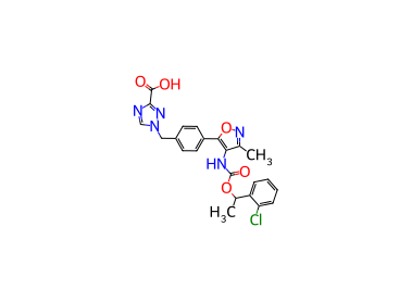 Cc1noc(-c2ccc(Cn3cnc(C(=O)O)n3)cc2)c1NC(=O)OC(C)c1ccccc1Cl